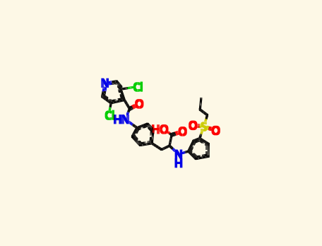 CCCS(=O)(=O)c1cccc(NC(Cc2ccc(NC(=O)c3c(Cl)cncc3Cl)cc2)C(=O)O)c1